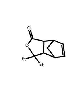 CCC1(CC)OC(=O)C2C3C=CC(C3)C21